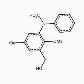 COc1c(CO)cc(C(C)(C)C)cc1N(C(=O)O)c1ccccc1